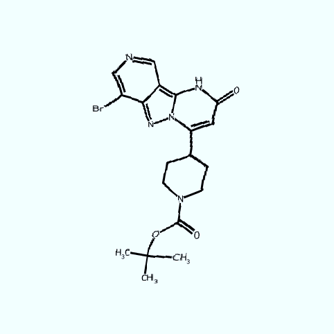 CC(C)(C)OC(=O)N1CCC(c2cc(=O)[nH]c3c4cncc(Br)c4nn23)CC1